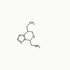 CCC1COC(CN)c2sccc21